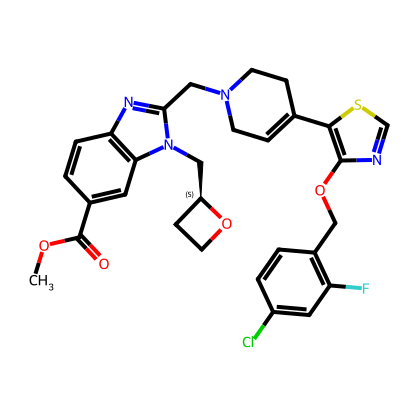 COC(=O)c1ccc2nc(CN3CC=C(c4scnc4OCc4ccc(Cl)cc4F)CC3)n(C[C@@H]3CCO3)c2c1